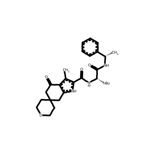 CCCC[C@H](NC(=O)c1[nH]c2c(c1C)C(=O)CC1(CCOCC1)C2)C(=O)N[C@@H](C)c1ccccc1